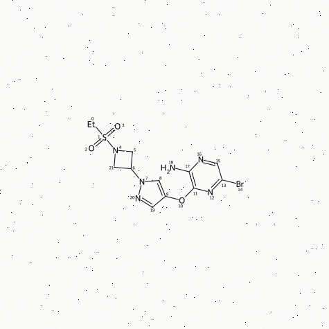 CCS(=O)(=O)N1CC(n2cc(Oc3nc(Br)cnc3N)cn2)C1